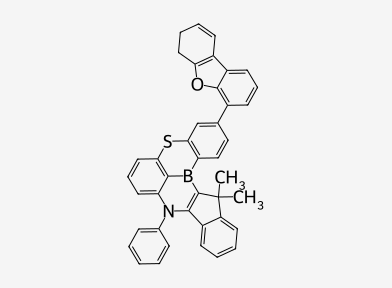 CC1(C)C2=C(c3ccccc31)N(c1ccccc1)c1cccc3c1B2c1ccc(-c2cccc4c5c(oc24)CCC=C5)cc1S3